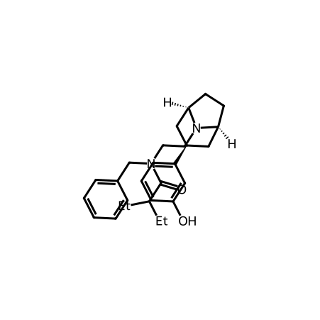 CCC(CC)C(=O)N(CCN1[C@@H]2CC[C@H]1C[C@@H](c1cccc(O)c1)C2)Cc1ccccc1